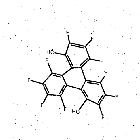 Oc1c(F)c(F)c(F)c2c1c1c(F)c(F)c(F)c(F)c1c1c(O)c(F)c(F)c(F)c12